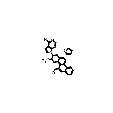 CC1Cc2c(ccc3c2c(CO)cc2ccccc23)CC1n1ccc2c(N)nccc21.c1ccoc1